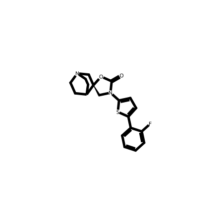 O=C1O[C@]2(CN3CCC2CC3)CN1c1ccc(-c2ccccc2F)s1